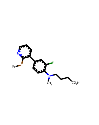 CC(C)Sc1ncccc1-c1ccc(N(C)CCCC(=O)O)c(F)c1